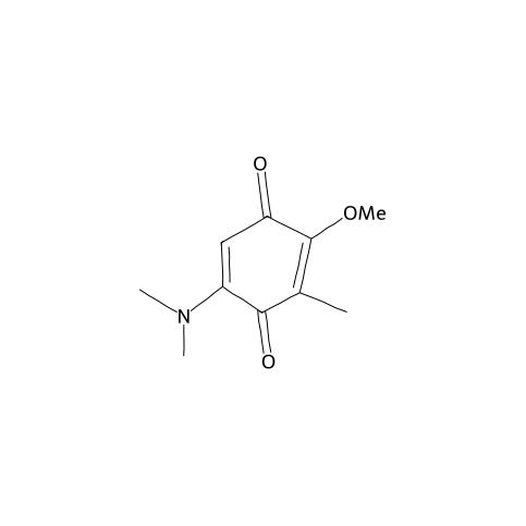 COC1=C(C)C(=O)C(N(C)C)=CC1=O